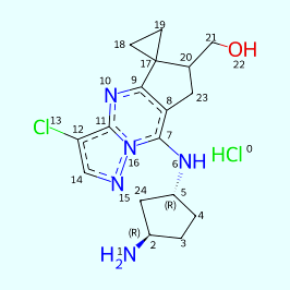 Cl.N[C@@H]1CC[C@@H](Nc2c3c(nc4c(Cl)cnn24)C2(CC2)C(CO)C3)C1